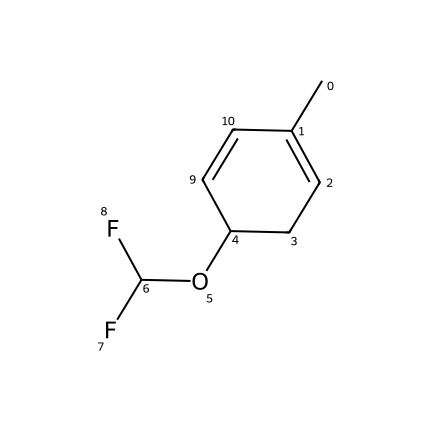 CC1=CCC(OC(F)F)C=C1